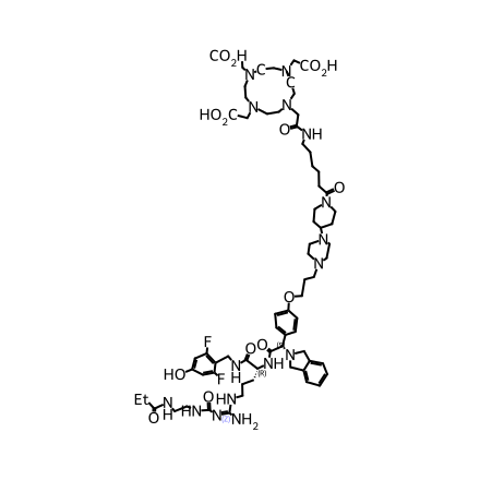 CCC(=O)NCCNC(=O)/N=C(/N)NCCC[C@@H](NC(=O)[C@H](c1ccc(OCCCN2CCN(C3CCN(C(=O)CCCCCNC(=O)CN4CCN(CC(=O)O)CCN(CC(=O)O)CCN(CC(=O)O)CC4)CC3)CC2)cc1)N1Cc2ccccc2C1)C(=O)NCc1c(F)cc(O)cc1F